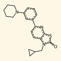 O=c1sc2nc(-c3cccc(N4CCCCC4)c3)ccc2n1CC1CC1